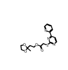 CC1(CCOC(=O)CSc2nccc(-c3ccccn3)n2)OCCO1